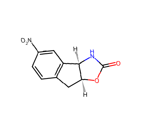 O=C1N[C@@H]2c3cc([N+](=O)[O-])ccc3C[C@@H]2O1